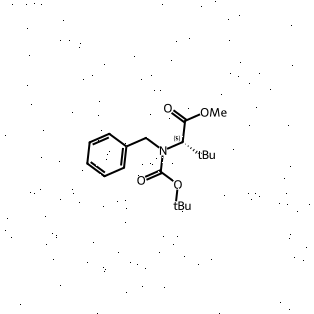 COC(=O)[C@@H](N(Cc1ccccc1)C(=O)OC(C)(C)C)C(C)(C)C